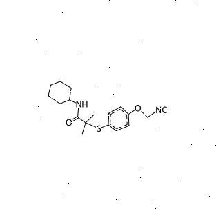 [C-]#[N+]COc1ccc(SC(C)(C)C(=O)NC2CCCCC2)cc1